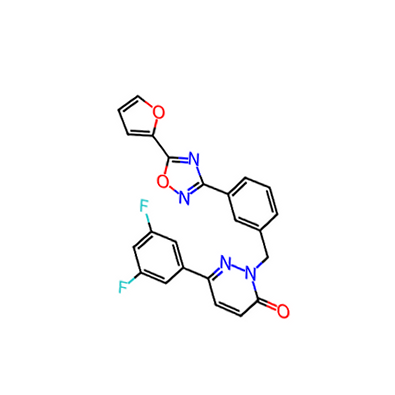 O=c1ccc(-c2cc(F)cc(F)c2)nn1Cc1cccc(-c2noc(-c3ccco3)n2)c1